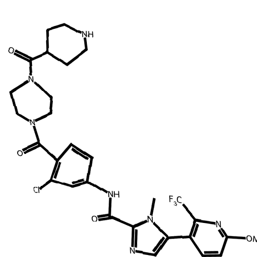 COc1ccc(-c2cnc(C(=O)Nc3ccc(C(=O)N4CCN(C(=O)C5CCNCC5)CC4)c(Cl)c3)n2C)c(C(F)(F)F)n1